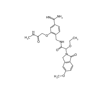 CCOC(C(=O)NCc1ccc(C(=N)N)cc1OCC(=O)NC)N1Cc2cc(OC)ccc2C1=O